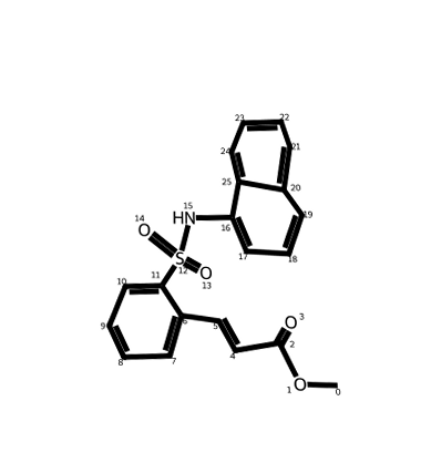 COC(=O)/C=C/c1ccccc1S(=O)(=O)Nc1cccc2ccccc12